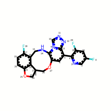 Fc1cnc(-c2cc3c(n4cnnc24)NCc2c(F)ccc4c2[C@@H](CO4)CO3)c(F)c1